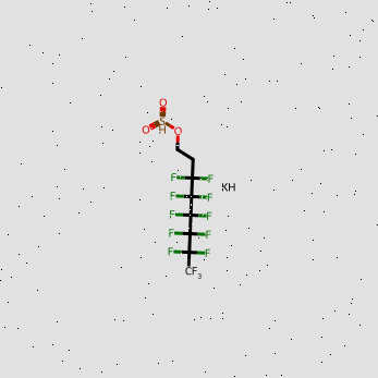 O=[SH](=O)OCCC(F)(F)C(F)(F)C(F)(F)C(F)(F)C(F)(F)C(F)(F)F.[KH]